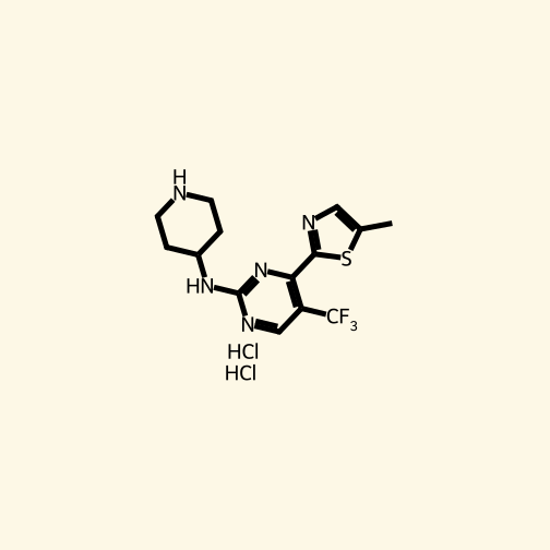 Cc1cnc(-c2nc(NC3CCNCC3)ncc2C(F)(F)F)s1.Cl.Cl